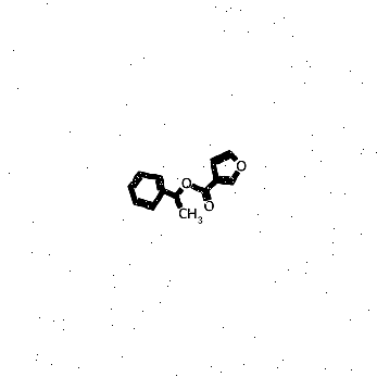 CC(OC(=O)c1ccoc1)c1ccccc1